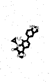 Cc1c(-c2ccc3[nH]ncc3c2)ccc2c3ocnc3c(=O)n(C3CC3)c12